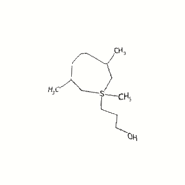 CC1CCC(C)CS(C)(CCCO)C1